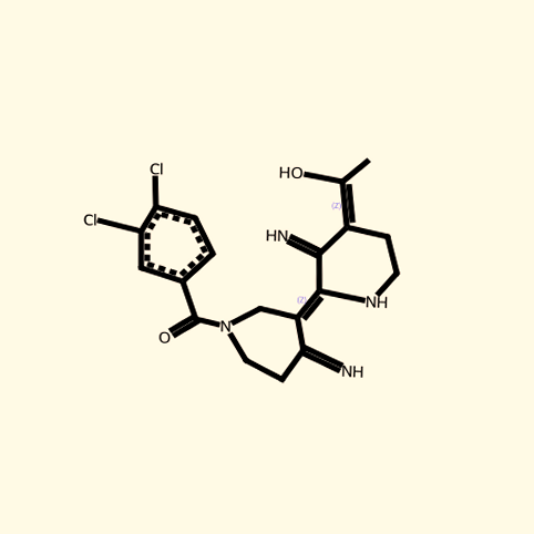 C/C(O)=C1\CCN/C(=C2/CN(C(=O)c3ccc(Cl)c(Cl)c3)CCC2=N)C1=N